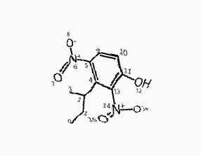 CCC(C)c1c([N+](=O)[O-])ccc(O)c1[N+](=O)[O-]